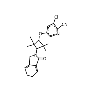 CC1(C)[C@H](Oc2cnc(C#N)c(Cl)c2)C(C)(C)[C@H]1N1CC2=CCCC=C2C1=O